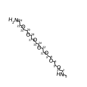 CNCCOCCOCCOCCOCCOCCOCCOCCN